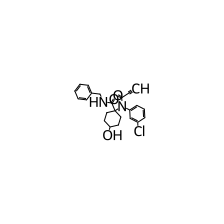 C#CC(=O)N(c1cccc(Cl)c1)C1(C(=O)NCc2ccccc2)CCC(O)CC1